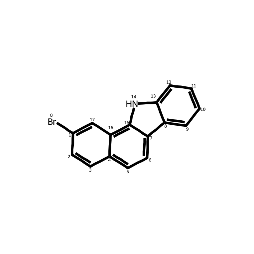 Brc1ccc2ccc3c4ccccc4[nH]c3c2c1